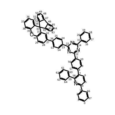 c1ccc(-c2ccc(-c3ccc(-c4nc(-c5ccccc5)nc(-c5ccc(-c6ccc7c(c6)C6(c8ccccc8O7)c7ccccc7-c7ccccc76)cc5)n4)cc3)c(-c3ccccc3)n2)cc1